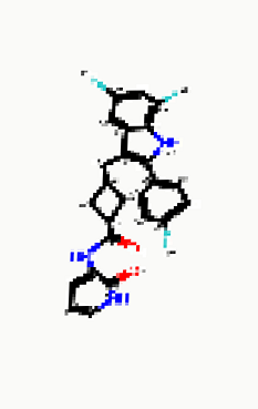 O=C(Nc1ccc[nH]c1=O)C1CC(Cc2c(-c3ccc(F)cc3)[nH]c3c(F)cc(F)cc23)C1